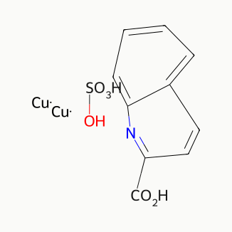 O=C(O)c1ccc2ccccc2n1.O=S(=O)(O)O.[Cu].[Cu]